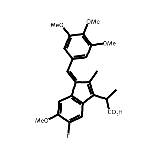 COc1cc2c(cc1F)C(C(C)C(=O)O)=C(C)/C2=C\c1cc(OC)c(OC)c(OC)c1